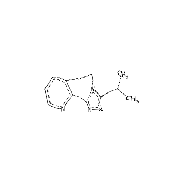 CC(C)c1nnc2n1CCc1cccnc1-2